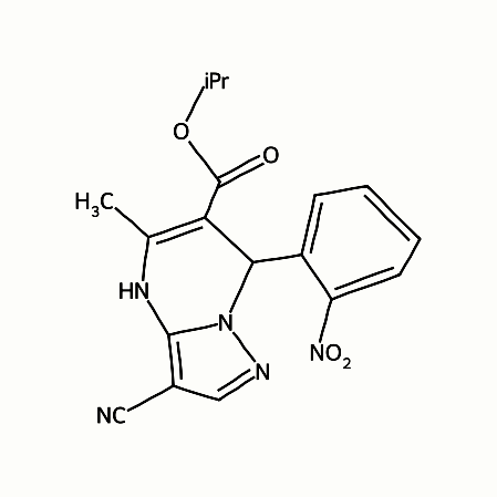 CC1=C(C(=O)OC(C)C)C(c2ccccc2[N+](=O)[O-])n2ncc(C#N)c2N1